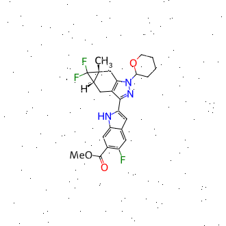 COC(=O)c1cc2[nH]c(-c3nn(C4CCCCO4)c4c3C[C@@H]3C(F)(F)[C@]3(C)C4)cc2cc1F